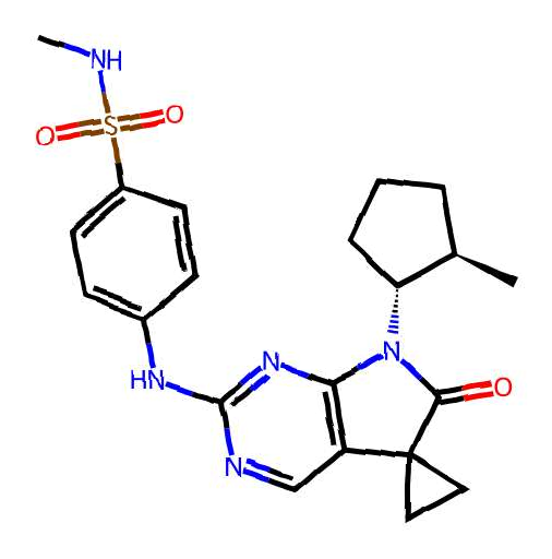 CNS(=O)(=O)c1ccc(Nc2ncc3c(n2)N([C@@H]2CCC[C@H]2C)C(=O)C32CC2)cc1